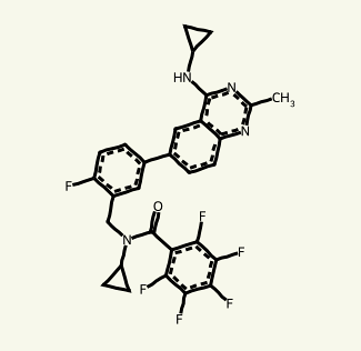 Cc1nc(NC2CC2)c2cc(-c3ccc(F)c(CN(C(=O)c4c(F)c(F)c(F)c(F)c4F)C4CC4)c3)ccc2n1